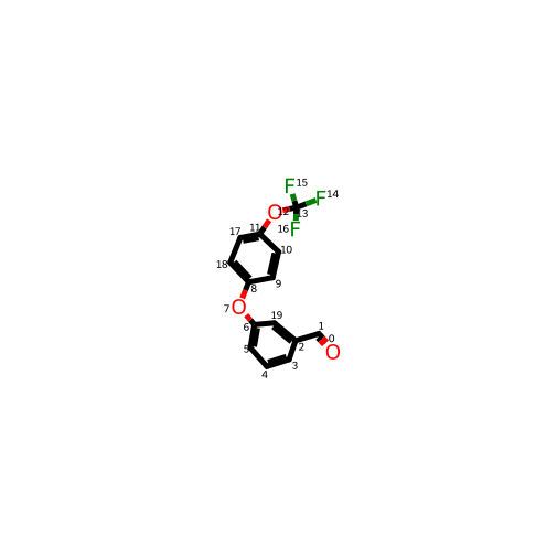 O=Cc1cccc(Oc2ccc(OC(F)(F)F)cc2)c1